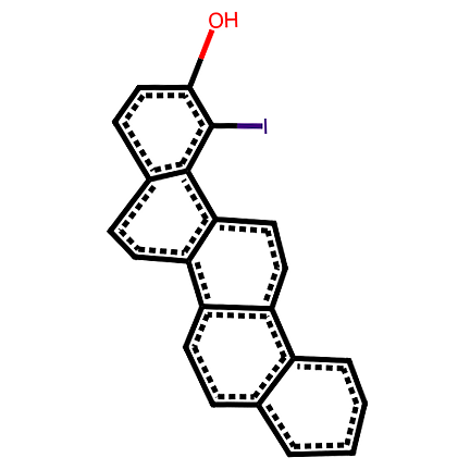 Oc1ccc2ccc3c4ccc5ccccc5c4ccc3c2c1I